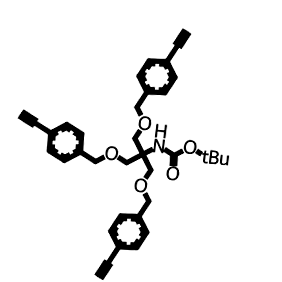 C#Cc1ccc(COCC(COCc2ccc(C#C)cc2)(COCc2ccc(C#C)cc2)NC(=O)OC(C)(C)C)cc1